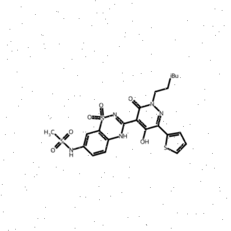 CCC(C)CCn1nc(-c2cccs2)c(O)c(C2=NS(=O)(=O)c3cc(NS(C)(=O)=O)ccc3N2)c1=O